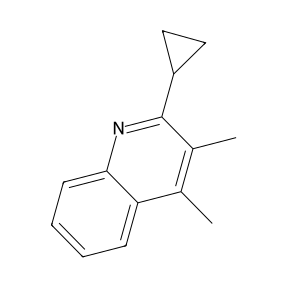 Cc1c(C2CC2)nc2ccccc2c1C